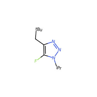 CC(C)n1nnc(CC(C)(C)C)c1F